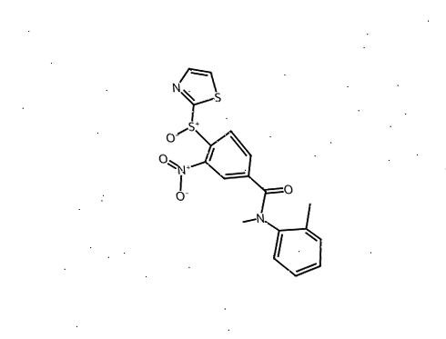 Cc1ccccc1N(C)C(=O)c1ccc([S+]([O-])c2nccs2)c([N+](=O)[O-])c1